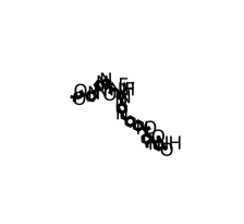 Cc1ccc(C(=O)N2CCC3(CCC(CN4CCC(n5cc(NC(=O)c6cnn7ccc(N8CCC[C@H](C(=O)OC(C)(C)C)C8)nc67)c(C(F)F)n5)CC4)CC3)CC2)cc1N1CCC(=O)NC1=O